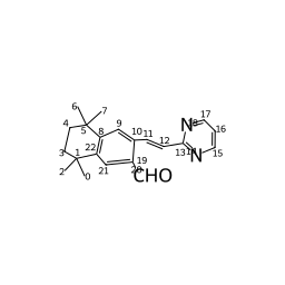 CC1(C)CCC(C)(C)c2cc(C=Cc3ncccn3)c(C=O)cc21